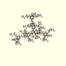 C=CCc1cc(CCC(=O)Oc2c(CC=C)cc(C(C)CC(c3cc(CC=C)c(OC(=O)CCc4cc(CC=C)c(O)c(CC=C)c4)c(CC=C)c3)c3cc(CC=C)c(OC(=O)CCc4cc(CC=C)c(O)c(CC=C)c4)c(CC=C)c3)cc2CC=C)cc(CC=C)c1O